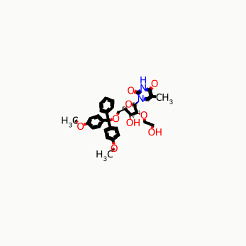 COc1ccc(C(OC[C@H]2O[C@@H](n3cc(C)c(=O)[nH]c3=O)[C@H](OCCO)[C@@H]2O)(c2ccccc2)c2ccc(OC)cc2)cc1